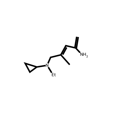 C=C(N)/C=C(\C)CN(CC)C1CC1